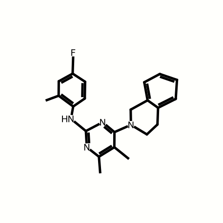 Cc1cc(F)ccc1Nc1nc(C)c(C)c(N2CCc3ccccc3C2)n1